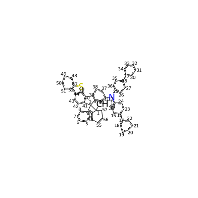 CC1(C2(c3ccccc3)c3cc(N(c4ccc(-c5ccccc5)cc4)c4ccc(-c5ccccc5)cc4)ccc3-c3c2ccc2c3sc3ccccc32)C=CC=CC1